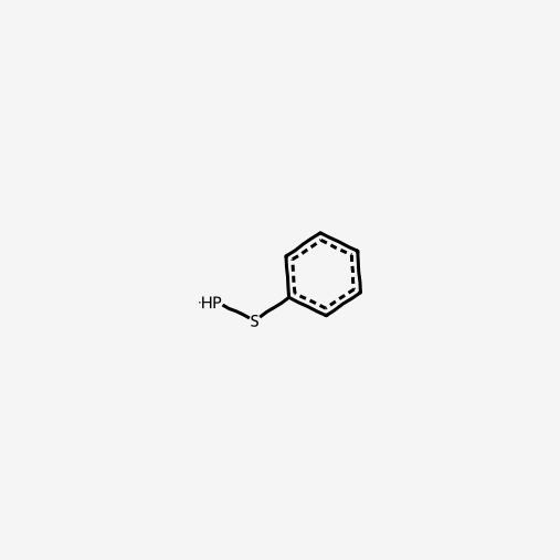 [PH]Sc1ccccc1